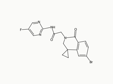 O=C(CN1CC2(CC2)c2cc(Br)ccc2C1=O)Nc1ncc(F)cn1